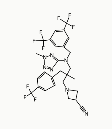 Cn1nnc(N(Cc2cc(C(F)(F)F)cc(C(F)(F)F)c2)CC(C)(Cc2ccc(C(F)(F)F)cc2)CN2CC(C#N)C2)n1